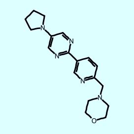 c1cc(CN2CCOCC2)ncc1-c1ncc(N2CCCC2)cn1